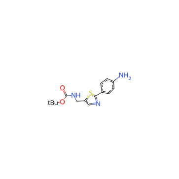 CC(C)(C)OC(=O)NCc1cnc(-c2ccc(N)cc2)s1